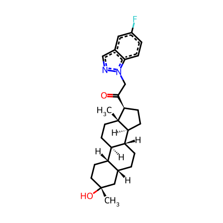 C[C@@]1(O)CC[C@H]2[C@H](CC[C@@H]3[C@@H]2CC[C@]2(C)[C@@H](C(=O)Cn4ncc5cc(F)ccc54)CC[C@@H]32)C1